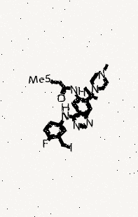 CSCCC(=O)Nc1cc2c(Nc3ccc(F)c(CI)c3)ncnc2cc1C(C)(C)N1CCN(C)CC1